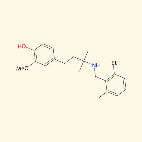 CCc1cccc(C)c1CNC(C)(C)CCc1ccc(O)c(OC)c1